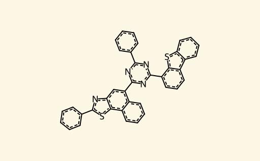 c1ccc(-c2nc(-c3cc4nc(-c5ccccc5)sc4c4ccccc34)nc(-c3cccc4c3sc3ccccc34)n2)cc1